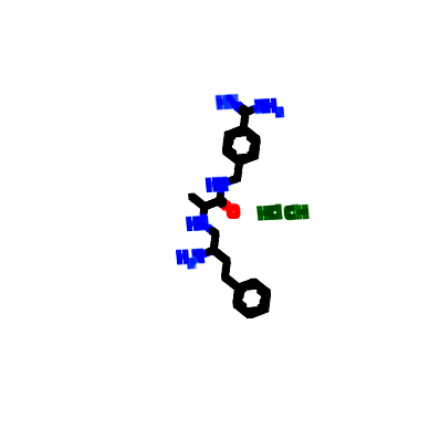 CC(NCC(N)CCc1ccccc1)C(=O)NCc1ccc(C(=N)N)cc1.Cl.Cl